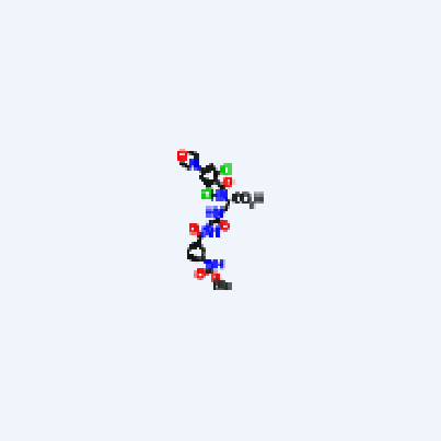 CC(C)(C)OC(=O)Nc1cccc(C(=O)NCC(=O)NC[C@H](NC(=O)c2c(Cl)cc(N3CCOCC3)cc2Cl)C(=O)O)c1